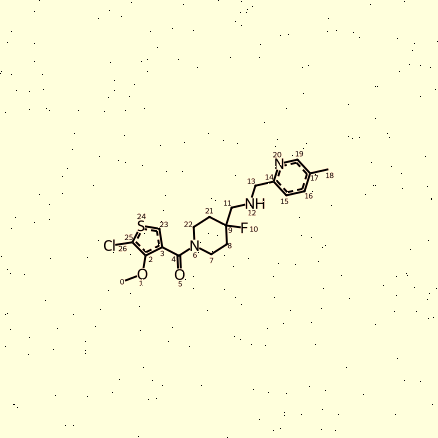 COc1c(C(=O)N2CCC(F)(CNCc3ccc(C)cn3)CC2)csc1Cl